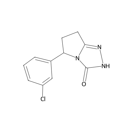 O=c1[nH]nc2n1C(c1cccc(Cl)c1)CC2